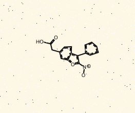 O=C(O)Cc1ccc2c(-c3ccccc3)c([N+](=O)[O-])oc2c1